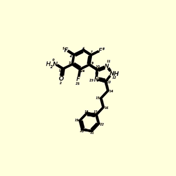 NC(=O)c1c(F)cc(F)c(-c2n[nH]c([CH]CCc3ccccc3)n2)c1F